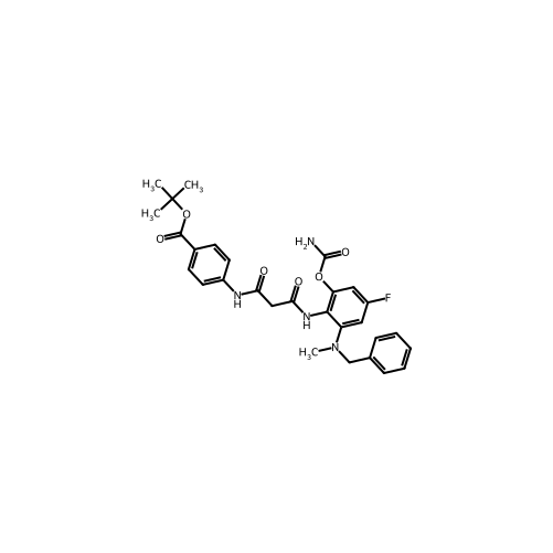 CN(Cc1ccccc1)c1cc(F)cc(OC(N)=O)c1NC(=O)CC(=O)Nc1ccc(C(=O)OC(C)(C)C)cc1